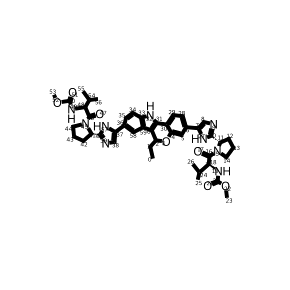 CCC1Oc2cc(-c3cnc([C@@H]4CCCN4C(=O)[C@@H](NC(=O)OC)C(C)C)[nH]3)ccc2-c2[nH]c3ccc(-c4cnc([C@@H]5CCCN5C(=O)C(NC(=O)OC)C(C)C)[nH]4)cc3c21